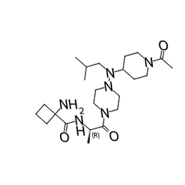 CC(=O)N1CCC(N(CC(C)C)N2CCN(C(=O)[C@@H](C)NC(=O)C3(N)CCC3)CC2)CC1